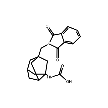 O=C(O)NC12CC3CC1CC(CN1C(=O)c4ccccc4C1=O)(C3)C2